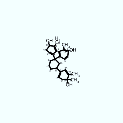 CC1=CC(C2(c3ccc(O)c(C)c3)CCCC(C3=CCC(C)(O)C(C)=C3)C2)=CCC1O